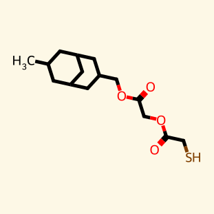 CC1CC2CC(COC(=O)COC(=O)CS)CC(C1)C2